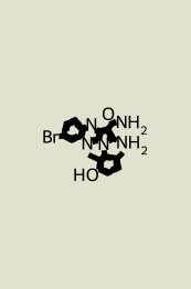 Cc1ccc(O)c(C)c1-n1c(N)c(C(N)=O)c2nc3ccc(Br)cc3nc21